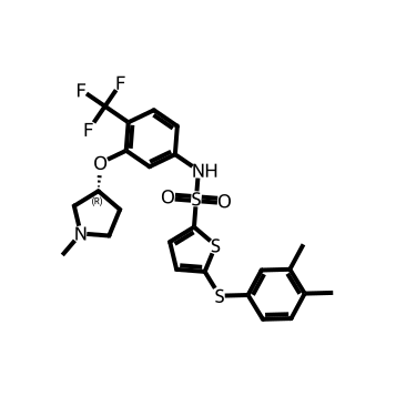 Cc1ccc(Sc2ccc(S(=O)(=O)Nc3ccc(C(F)(F)F)c(O[C@@H]4CCN(C)C4)c3)s2)cc1C